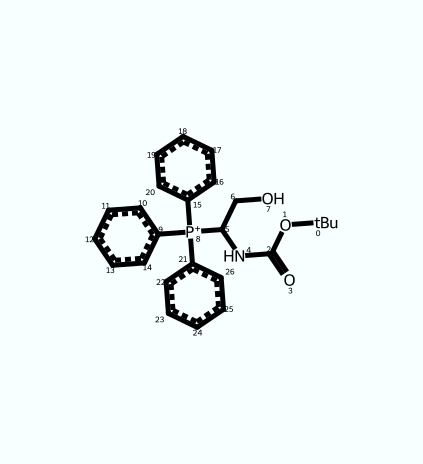 CC(C)(C)OC(=O)NC(CO)[P+](c1ccccc1)(c1ccccc1)c1ccccc1